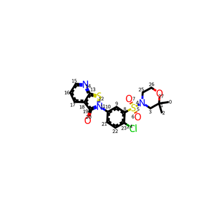 CC1(C)CN(S(=O)(=O)c2cc(-n3sc4ncccc4c3=O)ccc2Cl)CCO1